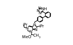 COC(C)N1CN(CC(C)C)C=C2C1=NC(C(C)C)N2Cc1ccc(-c2ccccc2-c2nnn[nH]2)cc1